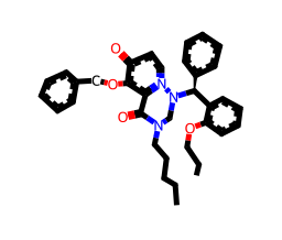 CCCCCN1CN([C@@H](c2ccccc2)c2ccccc2OCCC)n2ccc(=O)c(OCc3ccccc3)c2C1=O